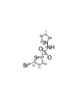 O=S(=O)(Nn1cccc1)c1ccc(Br)s1